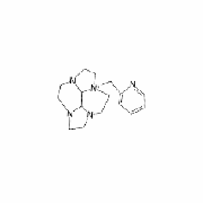 c1ccc(C[N+]23CCN4CCN5CCN(CC2)C3C54)nc1